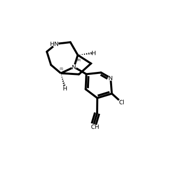 C#Cc1cc(N2[C@@H]3CCNC[C@H]2CC3)cnc1Cl